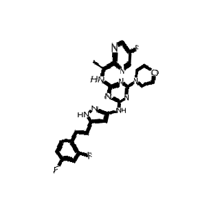 C[C@H](Nc1nc(Nc2cc(CCc3ccc(F)cc3F)[nH]n2)nc(N2CCOCC2)n1)c1ncc(F)cn1